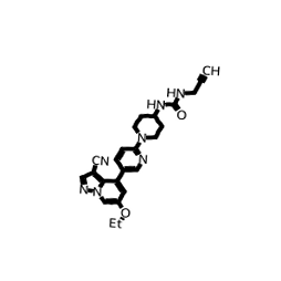 C#CCNC(=O)NC1CCN(c2ccc(-c3cc(OCC)cn4ncc(C#N)c34)cn2)CC1